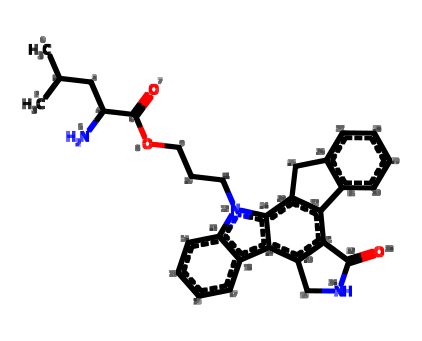 CC(C)CC(N)C(=O)OCCCn1c2ccccc2c2c3c(c4c(c21)Cc1ccccc1-4)C(=O)NC3